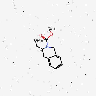 COC[C@@H]1Cc2ccccc2CN1C(=O)OC(C)(C)C